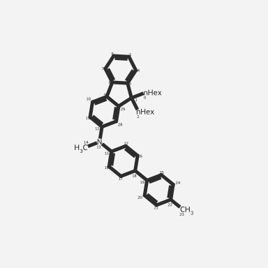 CCCCCCC1(CCCCCC)c2ccccc2-c2ccc(N(C)C3=CCC(c4ccc(C)cc4)C=C3)cc21